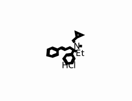 CCC(C/C=C/c1ccccc1)(c1ccccc1)N(C)CC1CC1.Cl